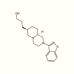 OCCC[C@H]1CC[C@H]2CN(c3noc4ccccc34)CCN2C1